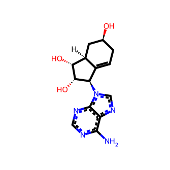 Nc1ncnc2c1ncn2[C@@H]1C2=CC[C@H](O)C[C@@H]2[C@@H](O)[C@H]1O